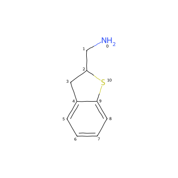 NCC1Cc2ccccc2S1